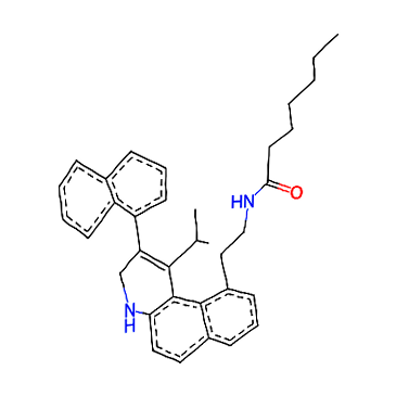 CCCCCCC(=O)NCCc1cccc2ccc3c(c12)C(C(C)C)=C(c1cccc2ccccc12)CN3